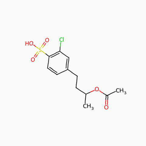 CC(=O)OC(C)CCc1ccc(S(=O)(=O)O)c(Cl)c1